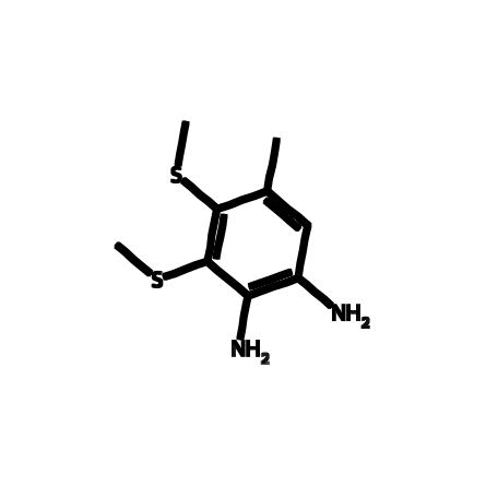 CSc1c(C)cc(N)c(N)c1SC